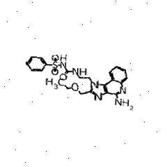 CCOCc1nc2c(N)nc3ccccc3c2n1CCNC(=O)NS(=O)(=O)c1ccccc1